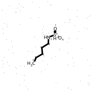 CCCCCN[SH](=O)=O